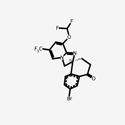 O=C1CC[C@@]2(CN3C=C(C(F)(F)F)C=C(OC(F)F)C3=N2)c2ccc(Br)cc21